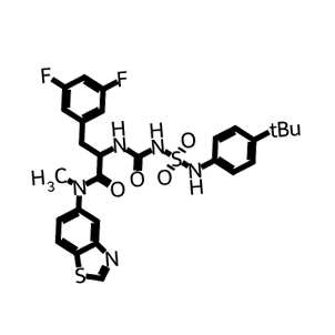 CN(C(=O)C(Cc1cc(F)cc(F)c1)NC(=O)NS(=O)(=O)Nc1ccc(C(C)(C)C)cc1)c1ccc2scnc2c1